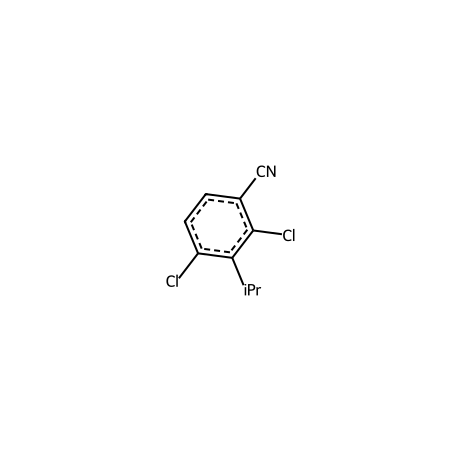 CC(C)c1c(Cl)ccc(C#N)c1Cl